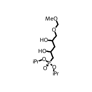 COCOCC(O)CC(O)CP(=O)(OC(C)C)OC(C)C